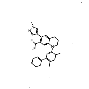 CC1=C(C2=CCSCC2)C=C(N2CCCc3cc(-c4cnn(C)c4)c(C(F)F)cc32)C(C)C1